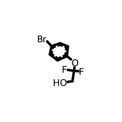 OCC(F)(F)Oc1ccc(Br)cc1